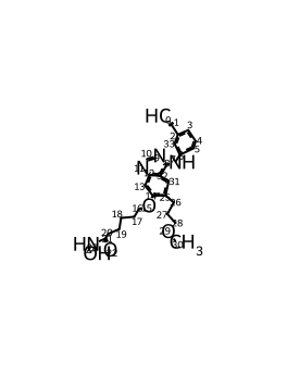 C#Cc1cccc(Nc2ncnc3cc(OCCCCCC(=O)NO)c(CCCOC)cc23)c1